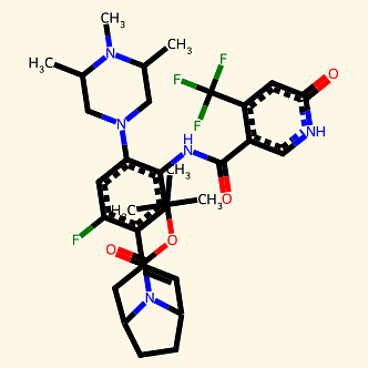 CC1CN(c2cc(F)c(C3=CC4CCC(C3)N4C(=O)OC(C)(C)C)cc2NC(=O)c2c[nH]c(=O)cc2C(F)(F)F)CC(C)N1C